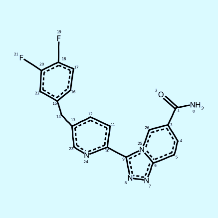 NC(=O)c1ccc2nnc(-c3ccc(Cc4ccc(F)c(F)c4)cn3)n2c1